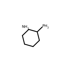 N.PC1CCCCC1